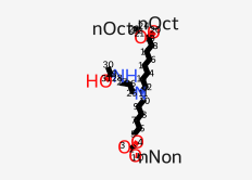 CCCCCCCCCOC(=O)OCCCCCCN(CCCCCCCC(=O)OC(CCCCCCCC)CCCCCCCC)CCCNC(C)O